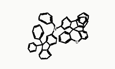 c1ccc(-c2cccc3c2C2(c4ccccc4O3)c3ccccc3-c3ccc(N(c4ccccc4)c4ccc5c(c4)C(c4ccccc4)(c4ccccc4)c4ccccc4-5)cc32)cc1